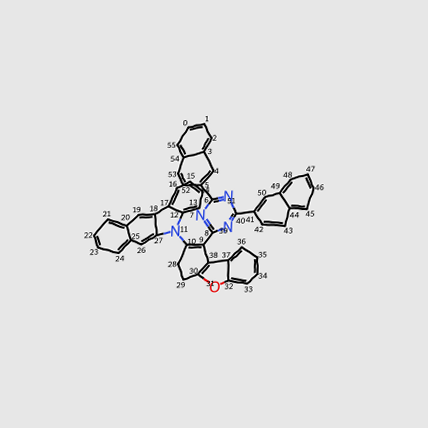 c1ccc2cc(-c3nc(C4=C(n5c6ccccc6c6cc7ccccc7cc65)CCc5oc6ccccc6c54)nc(-c4ccc5ccccc5c4)n3)ccc2c1